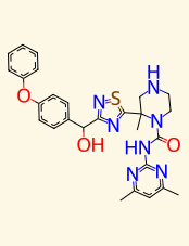 Cc1cc(C)nc(NC(=O)N2CCNCC2(C)c2nc(C(O)c3ccc(Oc4ccccc4)cc3)ns2)n1